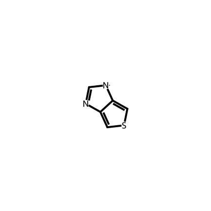 C1=Nc2cscc2[N]1